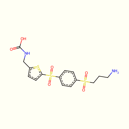 NCCCS(=O)(=O)c1ccc(S(=O)(=O)c2ccc(CNC(=O)O)s2)cc1